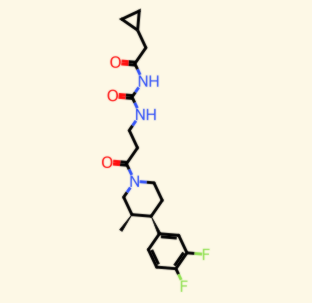 C[C@H]1CN(C(=O)CCNC(=O)NC(=O)CC2CC2)CC[C@H]1c1ccc(F)c(F)c1